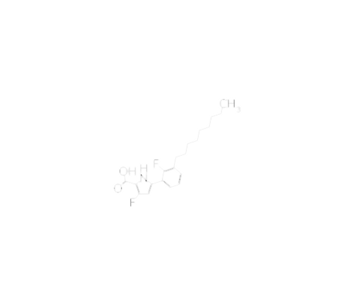 CCCCCCCCCc1cccc(-c2cc(F)c(C(=O)O)[nH]2)c1F